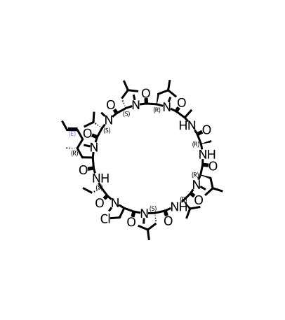 C/C=C/C[C@@H](C)CC1C(=O)N[C@@H](CC)C(=O)N(C)C(CCl)C(=O)N(C)[C@@H](CC(C)C)C(=O)N[C@H](C(C)C)C(=O)N(C)[C@H](CC(C)C)C(=O)N[C@H](C)C(=O)NC(C)C(=O)N(C)[C@H](CC(C)C)C(=O)N(C)[C@@H](CC(C)C)C(=O)N(C)[C@@H](C(C)C)C(=O)N1C